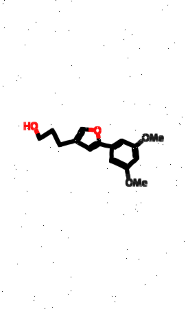 COc1cc(OC)cc(-c2cc(CCCO)co2)c1